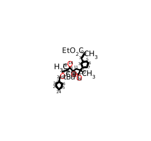 CCOC(=O)C(C)=Cc1cccc(C(C)(CCC(=O)C(C)(C)COCc2ccccc2)C(=O)OC(C)(C)C)c1